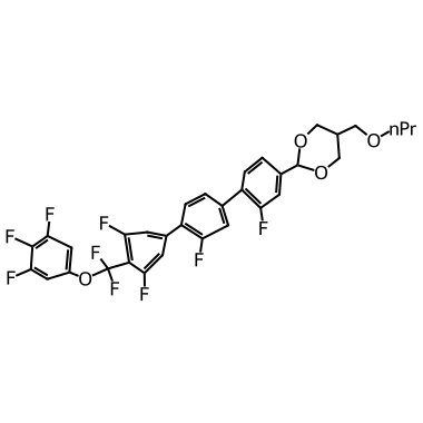 CCCOCC1COC(c2ccc(-c3ccc(-c4cc(F)c(C(F)(F)Oc5cc(F)c(F)c(F)c5)c(F)c4)c(F)c3)c(F)c2)OC1